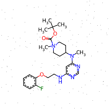 CN(c1cc(NCCOc2ccccc2F)ncn1)C1CC[N+](C)(C(=O)OC(C)(C)C)CC1